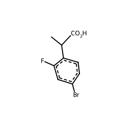 CC(C(=O)O)c1ccc(Br)cc1F